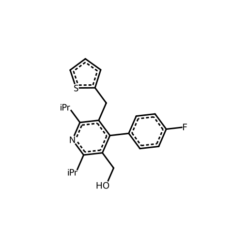 CC(C)c1nc(C(C)C)c(Cc2cccs2)c(-c2ccc(F)cc2)c1CO